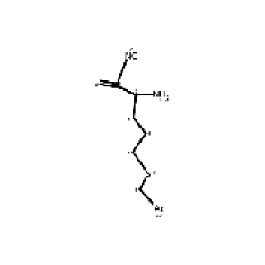 C=C(N=O)C(N)CCCSCC(C)=O